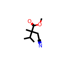 COC(=O)C(C)(CC#N)C(C)C